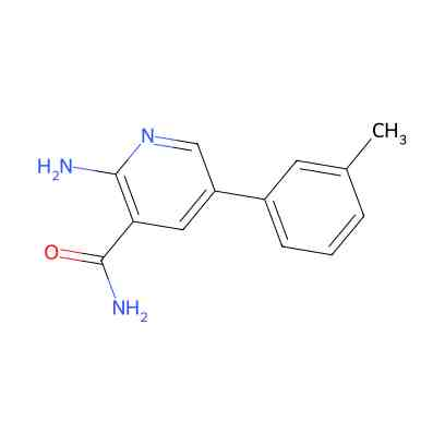 Cc1cccc(-c2cnc(N)c(C(N)=O)c2)c1